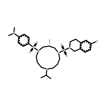 CC(C)N1CCCN(S(=O)(=O)c2ccc(N(C)C)cc2)C[C@H](C)CN(S(=O)(=O)N2CCc3cc(Cl)ccc3C2)CCC1